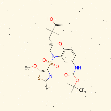 C=C(O)C(C)(C)C[C@H]1CN(S(=O)(=O)c2nc(CC)sc2OCC)c2cc(NC(=O)OC(C)(C)C(F)(F)F)ccc2O1